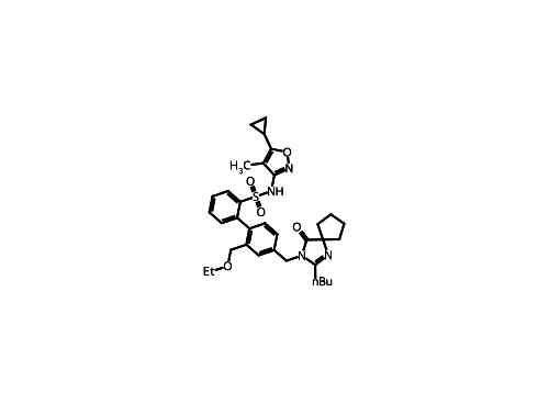 CCCCC1=NC2(CCCC2)C(=O)N1Cc1ccc(-c2ccccc2S(=O)(=O)Nc2noc(C3CC3)c2C)c(COCC)c1